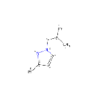 CC(C)c1ccn(CC(C)C(C)C)n1